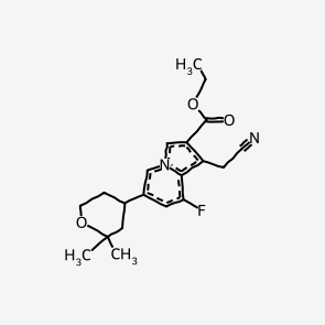 CCOC(=O)c1cn2cc(C3CCOC(C)(C)C3)cc(F)c2c1CC#N